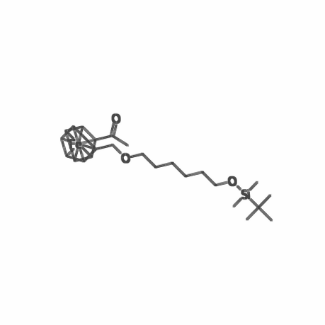 CC(=O)[C]12[CH]3[CH]4[CH]5[CH]1[Fe]45321678[CH]2[CH]1[CH]6[C]7(COCCCCCCO[Si](C)(C)C(C)(C)C)[CH]28